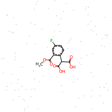 COC(=O)c1cc(F)ccc1C(C(=O)O)C(=O)O